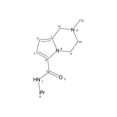 CC(C)NC(=O)c1ccc2n1CCN(C)C2